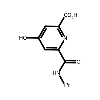 CC(C)NC(=O)c1cc(O)cc(C(=O)O)n1